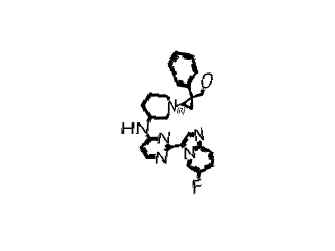 O=CC1(c2ccccc2)C[C@H]1N1CCCC(Nc2ccnc(-c3cnc4ccc(F)cn34)n2)C1